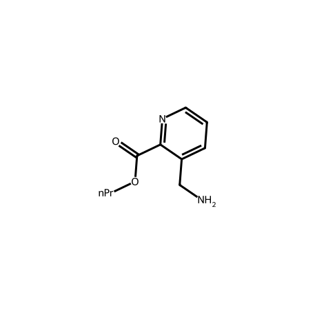 CCCOC(=O)c1ncccc1CN